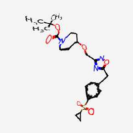 CC(C)(C)OC(=O)N1CCC(OCc2noc(Cc3ccc(S(=O)(=O)C4CC4)cc3)n2)CC1